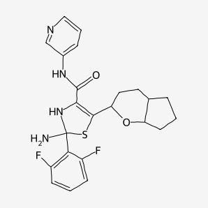 NC1(c2c(F)cccc2F)NC(C(=O)Nc2cccnc2)=C(C2CCC3CCCC3O2)S1